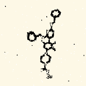 Cc1c(N2CCN(C(=O)OC(C)(C)C)CC2)cc(F)c(-c2ccc(OCc3ccccc3)nc2OCc2ccccc2)c1F